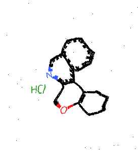 Cl.c1ccc2c3c(ncc2c1)COC1=C3CCCC1